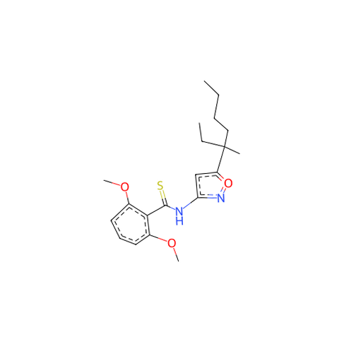 CCCCC(C)(CC)c1cc(NC(=S)c2c(OC)cccc2OC)no1